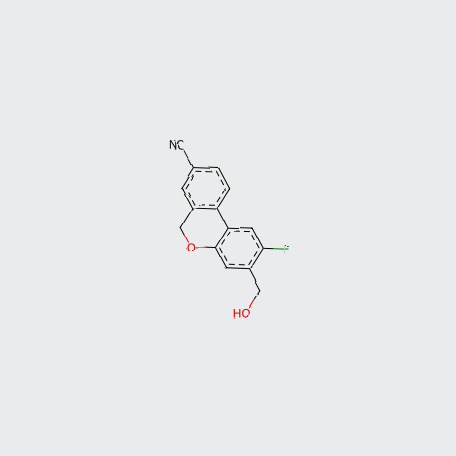 N#Cc1ccc2c(c1)COc1cc(CO)c(F)cc1-2